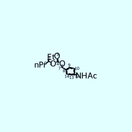 CCCC(CC)OC(=O)OCc1ccc(NC(C)=O)cc1